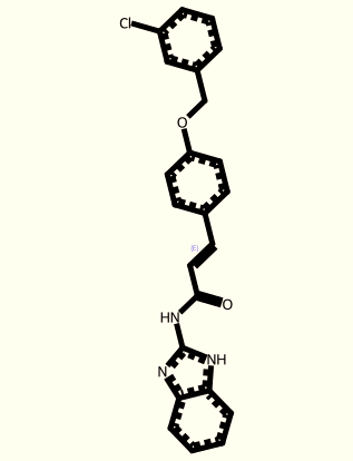 O=C(/C=C/c1ccc(OCc2cccc(Cl)c2)cc1)Nc1nc2ccccc2[nH]1